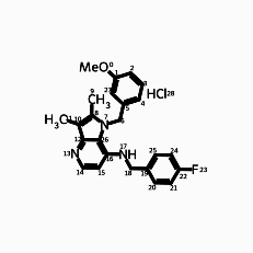 COc1cccc(Cn2c(C)c(C)c3nccc(NCc4ccc(F)cc4)c32)c1.Cl